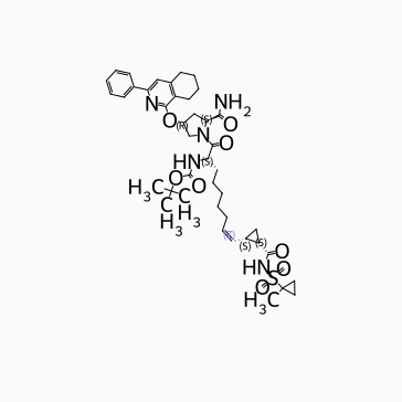 CC(C)(C)OC(=O)N[C@@H](CCCCC/C=C\[C@@H]1C[C@@H]1C(=O)NS(=O)(=O)C1(C)CC1)C(=O)N1C[C@H](Oc2nc(-c3ccccc3)cc3c2CCCC3)C[C@H]1C(N)=O